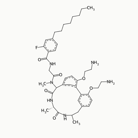 CCCCCCCCc1ccc(C(=O)NCC(=O)N(C)C2C(=O)N[C@@H](C)C(=O)NC(C)Cc3ccc(OCCN)c(c3)-c3cc2ccc3OCCN)c(F)c1